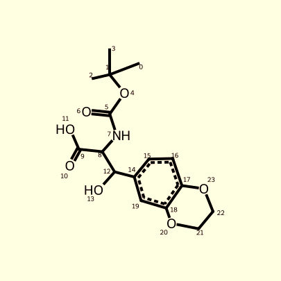 CC(C)(C)OC(=O)NC(C(=O)O)C(O)c1ccc2c(c1)OCCO2